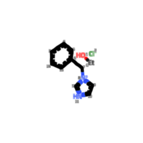 CCO.[Cl-].c1ccc(C[n+]2cc[nH]c2)cc1